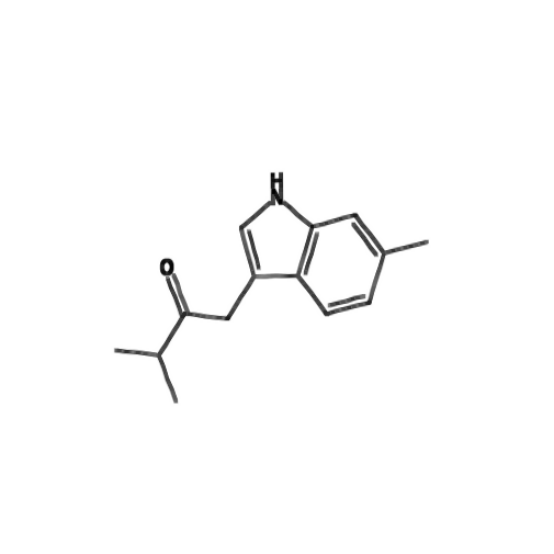 Cc1ccc2c(CC(=O)C(C)C)c[nH]c2c1